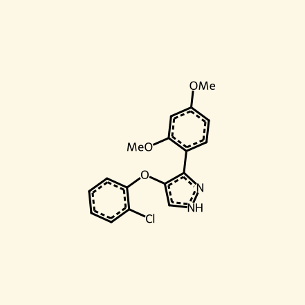 COc1ccc(-c2n[nH]cc2Oc2ccccc2Cl)c(OC)c1